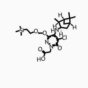 C[C@@H]1[C@H]2C[C@@H](C[C@H]1Nc1c(OCOCC[Si](C)(C)C)nn(CC(=O)O)c(=O)c1Cl)C2(C)C